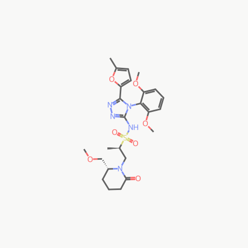 COC[C@H]1CCCC(=O)N1C[C@@H](C)S(=O)(=O)Nc1nnc(-c2ccc(C)o2)n1-c1c(OC)cccc1OC